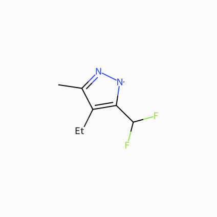 CCC1=C(C(F)F)[N]N=C1C